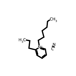 CCCCCC[n+]1ccccc1CCC.[C-]#N